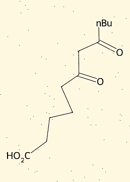 CCCCC(=O)CC(=O)CCCCC(=O)O